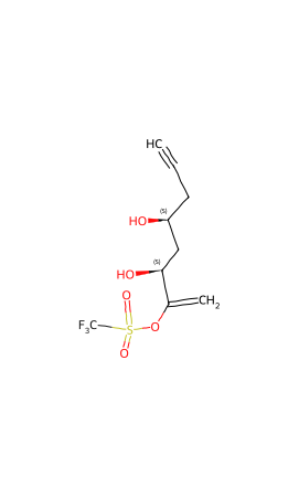 C#CC[C@H](O)C[C@H](O)C(=C)OS(=O)(=O)C(F)(F)F